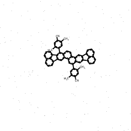 Cc1cc(-c2cc3c4cc5c(c(-c6cc(C)c(C#N)cc6C)c4ccc3c3cc4c(cc23)-c2cccc3cccc-4c23)-c2cccc3cccc-5c23)c(C)cc1C#N